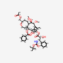 CO[C@H]1C(=O)[C@]2(C)[C@@H](OC)C[C@H](COC(C)=O)OCC[C@H]2[C@H](OC(=O)c2ccccc2)[C@]2(O)C[C@H](OC(=O)[C@H](O)[C@@H](NC(=O)OC(C)(C)C)c3ccccc3)C(C)=C1C2(C)C